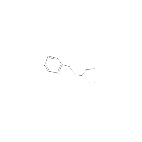 Cl.O=C(O)[C@@H](CS)NCc1ccccc1